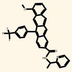 COc1cccc2cc3cc4cc(C(=O)NC(C)c5ccccn5)ccc4c(-c4ccc(C(F)(F)F)cc4)c3cc12